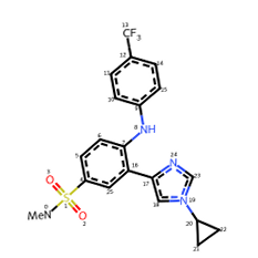 CNS(=O)(=O)c1ccc(Nc2ccc(C(F)(F)F)cc2)c(-c2cn(C3CC3)cn2)c1